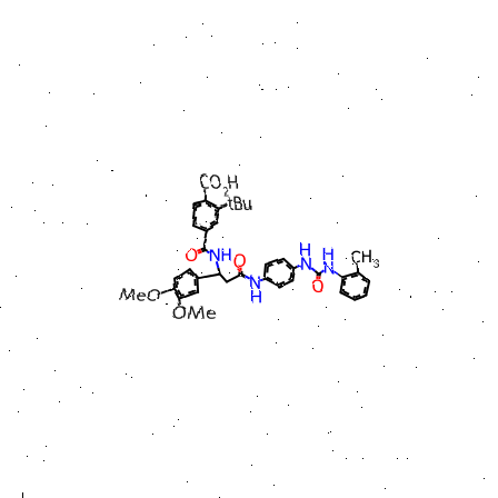 COc1ccc(C(CC(=O)Nc2ccc(NC(=O)Nc3ccccc3C)cc2)NC(=O)c2ccc(C(=O)O)c(C(C)(C)C)c2)cc1OC